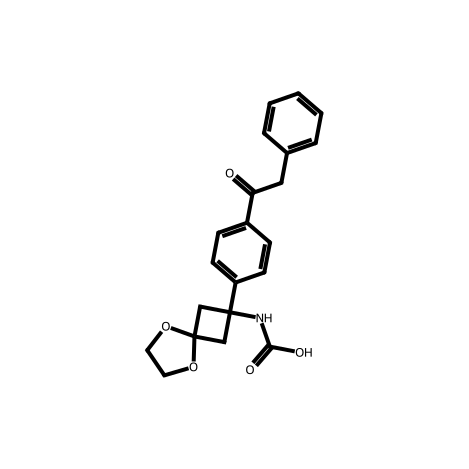 O=C(O)NC1(c2ccc(C(=O)Cc3ccccc3)cc2)CC2(C1)OCCO2